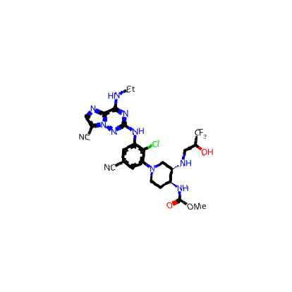 CCNc1nc(Nc2cc(C#N)cc(N3CC[C@H](NC(=O)OC)[C@@H](NCC(O)C(F)(F)F)C3)c2Cl)nn2c(C#N)cnc12